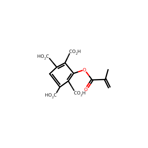 C=C(C)C(=O)Oc1c(C(=O)O)c(C(=O)O)cc(C(=O)O)c1C(=O)O